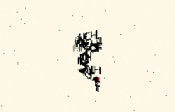 Cc1nonc1C(=O)N[C@H](c1cn2ncc([C@H](NC(=O)C[C@]34C[C@](F)(C3)C4)C3CC3)cc2n1)C1CCC(F)(F)CC1